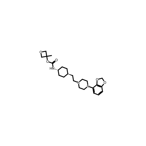 CC1(OC(=O)N[C@H]2CC[C@H](CCN3CCN(c4cccc5c4OCO5)CC3)CC2)COC1